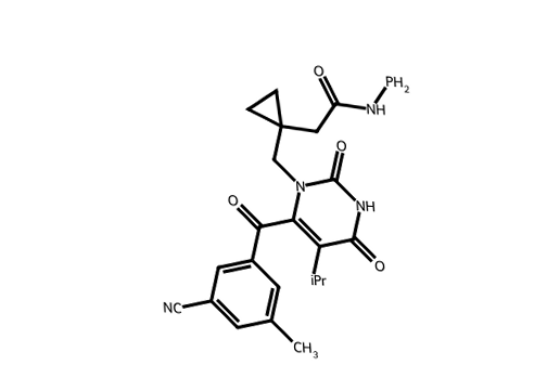 Cc1cc(C#N)cc(C(=O)c2c(C(C)C)c(=O)[nH]c(=O)n2CC2(CC(=O)NP)CC2)c1